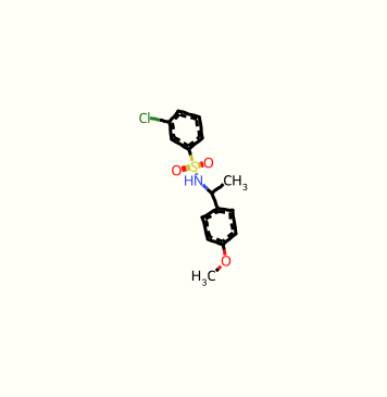 COc1ccc(C(C)NS(=O)(=O)c2cccc(Cl)c2)cc1